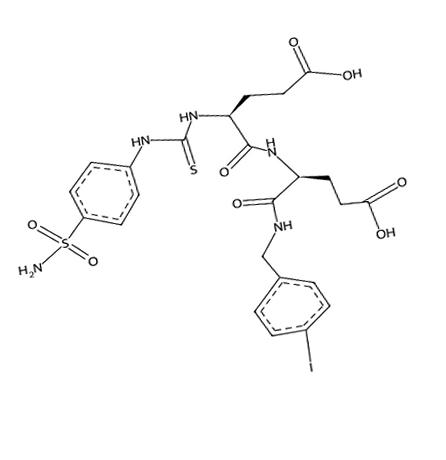 NS(=O)(=O)c1ccc(NC(=S)N[C@@H](CCC(=O)O)C(=O)N[C@@H](CCC(=O)O)C(=O)NCc2ccc(I)cc2)cc1